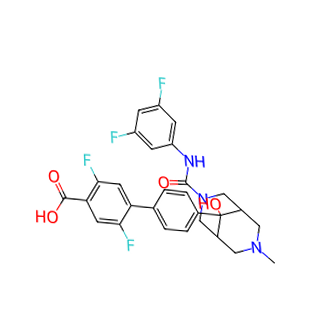 CN1CC2CN(C(=O)Nc3cc(F)cc(F)c3)CC(C1)C2(O)c1ccc(-c2cc(F)c(C(=O)O)cc2F)cc1